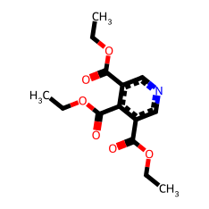 CCOC(=O)c1cncc(C(=O)OCC)c1C(=O)OCC